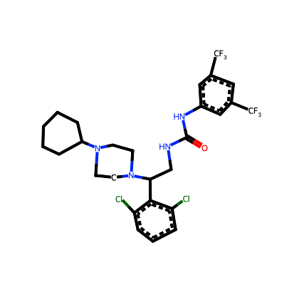 O=C(NCC(c1c(Cl)cccc1Cl)N1CCN(C2CCCCC2)CC1)Nc1cc(C(F)(F)F)cc(C(F)(F)F)c1